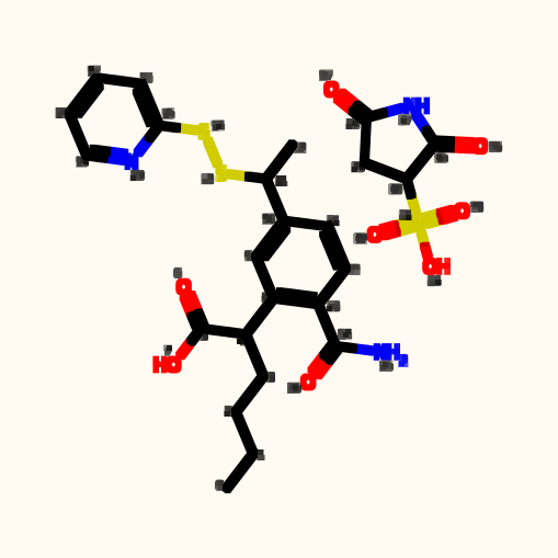 CCCCC(C(=O)O)c1cc(C(C)SSc2ccccn2)ccc1C(N)=O.O=C1CC(S(=O)(=O)O)C(=O)N1